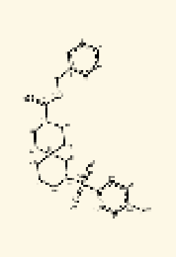 O=C(OCc1ccccc1)N1CCC2(CCCN(S(=O)(=O)c3ccc(F)cc3)C2)CC1